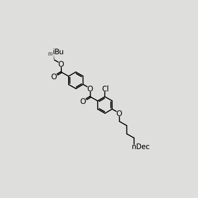 CCCCCCCCCCCCCCOc1ccc(C(=O)Oc2ccc(C(=O)OC[C@@H](C)CC)cc2)c(Cl)c1